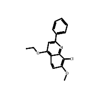 CCOc1cc(-c2ccccc2)nc2c(Cl)c(OC)ccc12